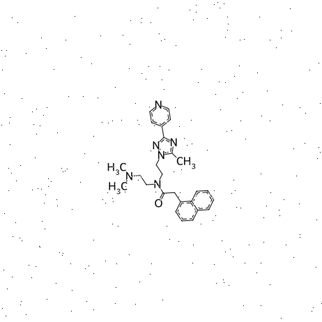 Cc1nc(-c2ccncc2)nn1CCN(CCN(C)C)C(=O)Cc1cccc2ccccc12